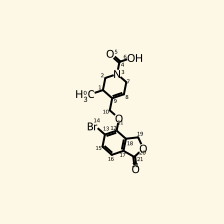 CC1CN(C(=O)O)CC=C1COc1c(Br)ccc2c1COC2=O